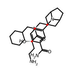 NCC[C@H](O)C(=O)N(CCN1C2CCC1CC(c1cccc(C(N)=O)c1)C2)CC1CCCCC1